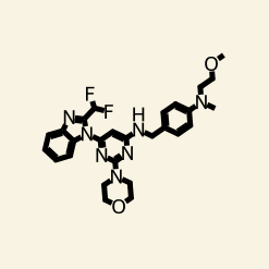 COCCN(C)c1ccc(CNc2cc(-n3c(C(F)F)nc4ccccc43)nc(N3CCOCC3)n2)cc1